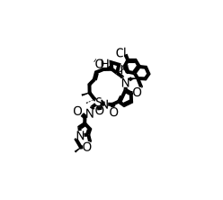 CO[C@H]1/C=C/C[C@H](C)[C@@H](C)S(=O)(/C=N/C(=O)c2cc3n(c2)C[C@H](C)OC3)=NC(=O)c2ccc3c(c2)N(C[C@@H]2CC[C@H]21)C[C@@]1(CCCc2cc(Cl)ccc21)CO3